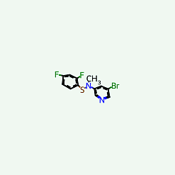 CN(Sc1ccc(F)cc1F)c1cncc(Br)c1